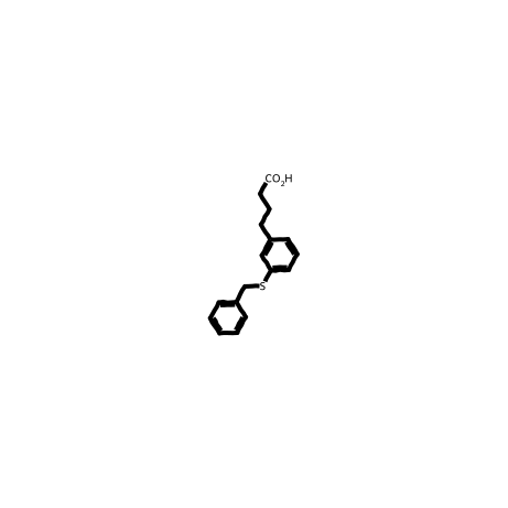 O=C(O)CCCc1cccc(SCc2ccccc2)c1